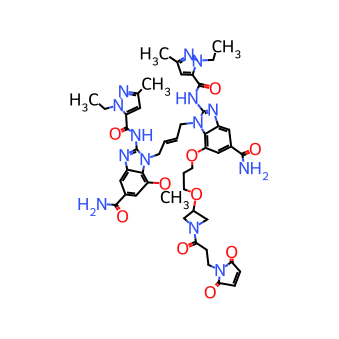 CCn1nc(C)cc1C(=O)Nc1nc2cc(C(N)=O)cc(OC)c2n1CC=CCn1c(NC(=O)c2cc(C)nn2CC)nc2cc(C(N)=O)cc(OCCCOC3CN(C(=O)CCN4C(=O)C=CC4=O)C3)c21